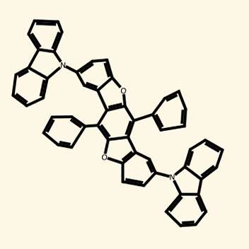 c1ccc(-c2c3oc4ccc(-n5c6ccccc6c6ccccc65)cc4c3c(-c3ccccc3)c3oc4ccc(-n5c6ccccc6c6ccccc65)cc4c23)cc1